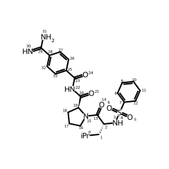 CC(C)C[C@@H](NS(=O)(=O)c1ccccc1)C(=O)N1CCC[C@H]1C(=O)NC(=O)c1ccc(C(=N)N)cc1